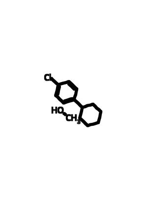 CO.Clc1ccc(C2CCCCC2)cc1